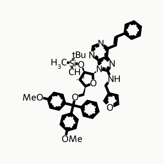 COc1ccc(C(OC[C@H]2[CH][C@@H](O[Si](C)(C)C(C)(C)C)[C@H](n3c(NCc4ccoc4)nc4c(/C=C/c5ccccc5)ncnc43)O2)(c2ccccc2)c2ccc(OC)cc2)cc1